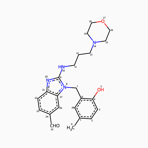 Cc1ccc(O)c(Cn2c(NCCCN3CCOCC3)nc3ccc(C=O)cc32)c1